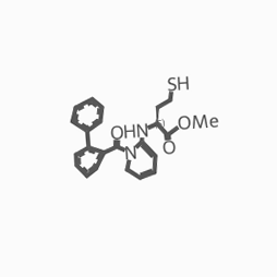 COC(=O)[C@H](CCS)NC1=CC=CCN1C(=O)c1ccccc1-c1ccccc1